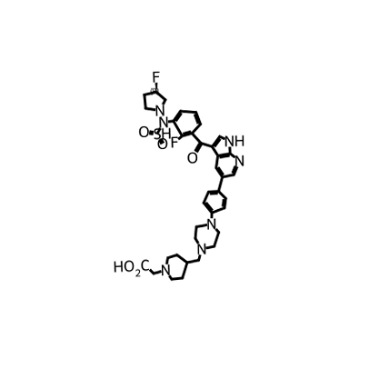 O=C(O)CN1CCC(CN2CCN(c3ccc(-c4cnc5[nH]cc(C(=O)c6cccc(N(N7CC[C@@H](F)C7)[SH](=O)=O)c6F)c5c4)cc3)CC2)CC1